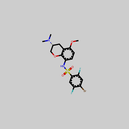 COc1ccc(NS(=O)(=O)c2cc(F)c(Br)cc2F)c2c1C[C@@H](N(C)C)CO2